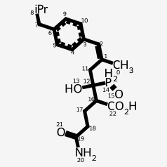 CC(=Cc1ccc(CC(C)C)cc1)CC(O)([PH2]=O)C(CCC(N)=O)C(=O)O